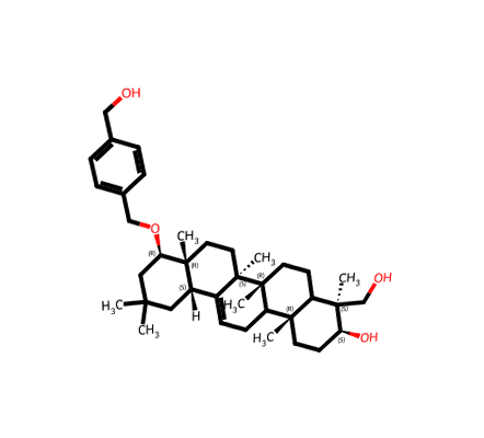 CC1(C)C[C@@H](OCc2ccc(CO)cc2)[C@]2(C)CC[C@]3(C)C(=CCC4[C@@]5(C)CC[C@H](O)[C@](C)(CO)C5CC[C@]43C)[C@@H]2C1